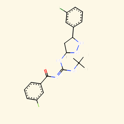 CC(C)(C)N/C(=N/C(=O)c1cccc(F)c1)NC1CC(c2cccc(Cl)c2)NN1